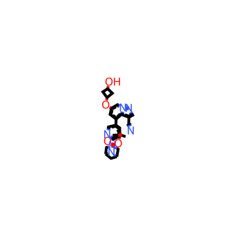 CC(C)(C)OC(=O)N1C2CC1CN(c1ccc(-c3cc(OC4CC(O)C4)cn4ncc(C#N)c34)cn1)C2